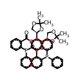 CC1(C)OC[C@H]([C@@H](OC(=O)c2ccccc2P(c2ccccc2)c2ccccc2)[C@H](OC(=O)c2ccccc2P(c2ccccc2)c2ccccc2)[C@H]2COC(C)(C)O2)O1